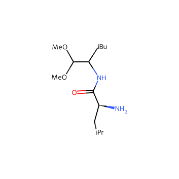 CCC(C)C(NC(=O)[C@@H](N)CC(C)C)C(OC)OC